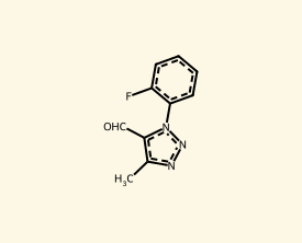 Cc1nnn(-c2ccccc2F)c1C=O